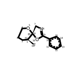 F[C@H]1CCCO[C@@]12CN=C(c1ccccc1)O2